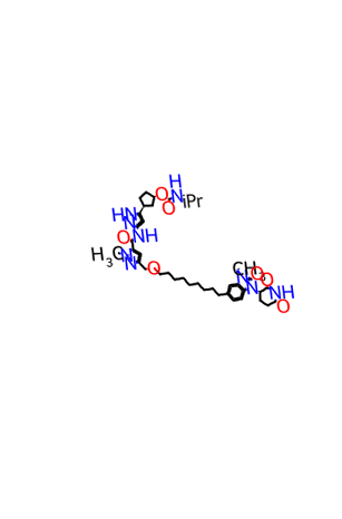 CC(C)NC(=O)O[C@@H]1CC[C@H](c2cc(NC(=O)c3cc(COCCCCCCCCCc4ccc5c(c4)n(C)c(=O)n5[C@H]4CCC(=O)NC4=O)nn3C)n[nH]2)C1